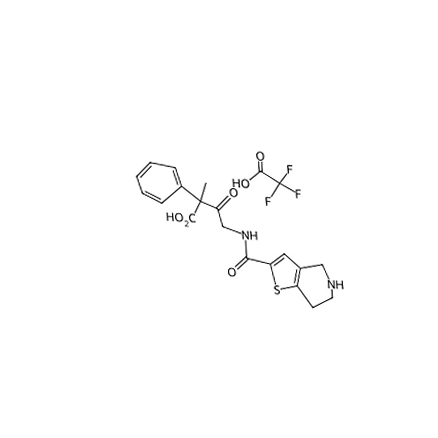 CC(C(=O)O)(C(=O)CNC(=O)c1cc2c(s1)CCNC2)c1ccccc1.O=C(O)C(F)(F)F